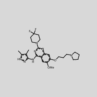 COc1cc2c(Nc3n[nH]c(C)c3C)nc(N3CCC(F)(F)CC3)nc2cc1OCCCN1CCCC1